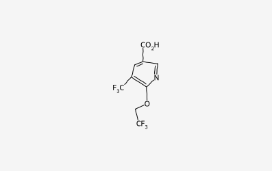 O=C(O)c1cnc(OCC(F)(F)F)c(C(F)(F)F)c1